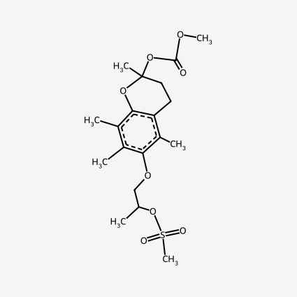 COC(=O)OC1(C)CCc2c(C)c(OCC(C)OS(C)(=O)=O)c(C)c(C)c2O1